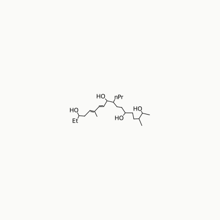 CCCC(CCC(O)CCC(C)C(C)O)C(O)/C=C/C(C)=C/CC(O)CC